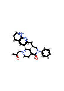 CC(=O)CN1CCC(C(=O)N(CCCc2ccc3c(n2)NCCC3)c2ccccc2)CC1